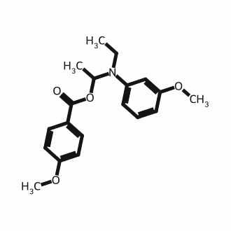 CCN(c1cccc(OC)c1)C(C)OC(=O)c1ccc(OC)cc1